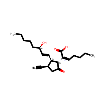 C#CC1CC(=O)[C@@H](/C(=C/CCCC)C(=O)O)[C@@H]1C=C[C@H](O)CCCCC